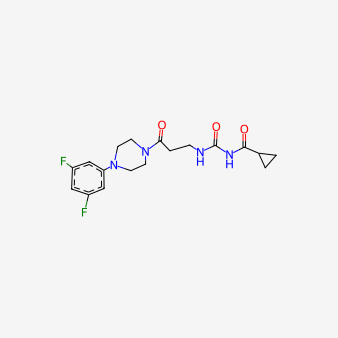 O=C(NCCC(=O)N1CCN(c2cc(F)cc(F)c2)CC1)NC(=O)C1CC1